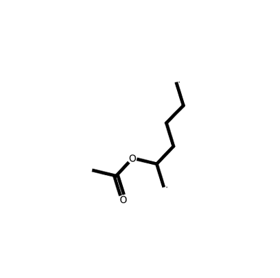 [CH2]CCCC([CH2])OC(C)=O